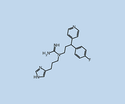 N=C(N)N(CCCc1c[nH]cn1)CCC(c1ccncc1)c1ccc(F)cc1